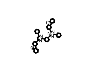 c1ccc(-c2cc(-c3ccc4oc5ccccc5c4c3)nc(-c3cccc(-c4nc(-c5ccccc5)nc(-c5ccc6oc7ccccc7c6c5)n4)c3)n2)cc1